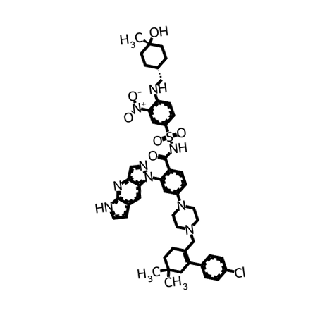 CC1(C)CCC(CN2CCN(c3ccc(C(=O)NS(=O)(=O)c4ccc(NC[C@H]5CC[C@@](C)(O)CC5)c([N+](=O)[O-])c4)c(-n4ncc5nc6[nH]ccc6cc54)c3)CC2)=C(c2ccc(Cl)cc2)C1